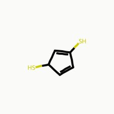 S[C]1C=CC(S)=C1